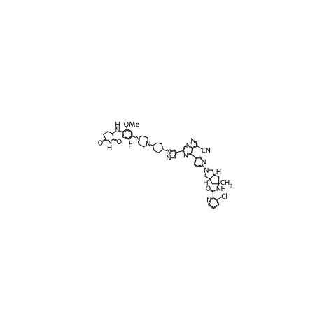 COc1cc(N2CCN(C3CCC(n4cc(-c5cn6ncc(C#N)c6c(-c6ccc(N7C[C@@H]8CC(C)(NC(=O)c9ncccc9Cl)C[C@@H]8C7)nc6)n5)cn4)CC3)CC2)c(F)cc1NC1CCC(=O)NC1=O